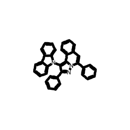 c1ccc(-c2nn3c(-c4ccccc4)cc4ccccc4c3c2-n2c3ccccc3c3ccccc32)cc1